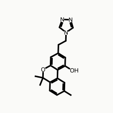 Cc1ccc2c(c1)-c1c(O)cc(CCn3cnnc3)cc1OC2(C)C